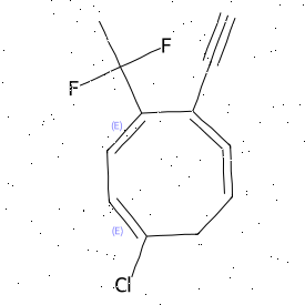 C#CC1=C=CC/C(Cl)=C\C=C/1C(C)(F)F